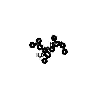 C=C1C=C(C2CC(C3C=C(C4=CCCC=C4)C=CC3)NC(C3=CCCC=C3)N2)CCC1N1CCC(C2C=CCCC2)/C=C(\C)C2CC(C3C=C4C5CCC=CC5N(C5=CC=CCC5)C4CC3)C=CC21